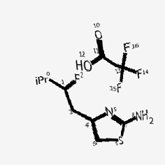 CC(C)C(F)CC1CSC(N)=N1.O=C(O)C(F)(F)F